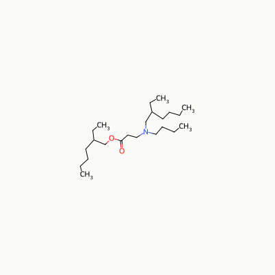 CCCCC(CC)COC(=O)CCN(CCCC)CC(CC)CCCC